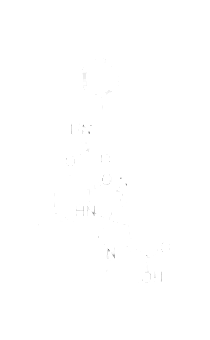 CC(C)CC(OC(=O)NCc1ccccc1)C(=O)NC1(C#N)CC(C(=O)O)N(C)C1